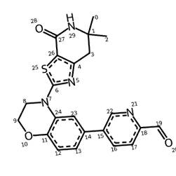 CC1(C)Cc2nc(N3CCOc4ccc(-c5ccc(C=O)nc5)cc43)sc2C(=O)N1